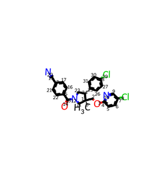 C[C@]1(COc2ccc(Cl)cn2)CN(C(=O)c2ccc(C#N)cc2)C[C@@H]1c1ccc(Cl)cc1